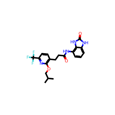 CC(C)COc1nc(C(F)(F)F)ccc1CCC(=O)Nc1cccc2[nH]c(=O)[nH]c12